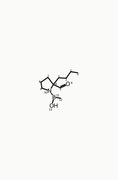 CCCCC1(C=O)CCCN1B(C)O